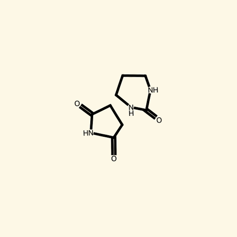 O=C1CCC(=O)N1.O=C1NCCCN1